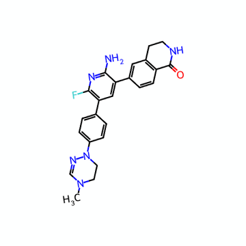 CN1C=NN(c2ccc(-c3cc(-c4ccc5c(c4)CCNC5=O)c(N)nc3F)cc2)CC1